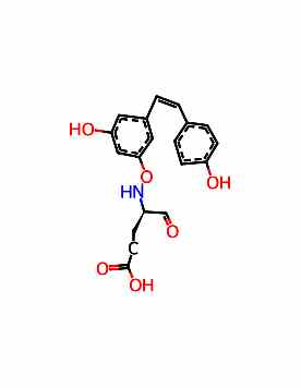 O=C[C@@H](CCC(=O)O)NOc1cc(O)cc(/C=C\c2ccc(O)cc2)c1